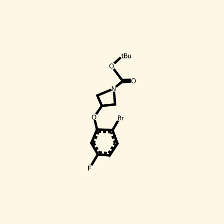 CC(C)(C)OC(=O)N1CC(Oc2cc(F)ccc2Br)C1